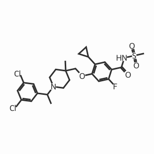 CC(c1cc(Cl)cc(Cl)c1)N1CCC(C)(COc2cc(F)c(C(=O)NS(C)(=O)=O)cc2C2CC2)CC1